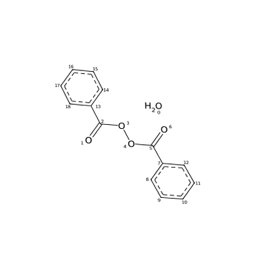 O.O=C(OOC(=O)c1ccccc1)c1ccccc1